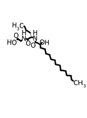 CCCCCCCCCCCCCCC(O)C(=O)N[C@@H](CCCC)C(=O)NCC(=O)O